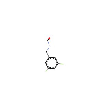 O=[C]NCc1cc(F)cc(F)c1